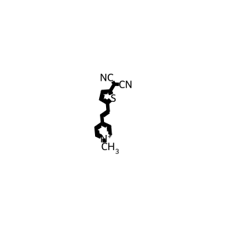 C[n+]1ccc(/C=C/c2ccc(C(C#N)C#N)s2)cc1